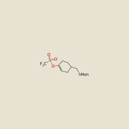 CCCCCCCCCCC1CC=C(OS(=O)(=O)C(F)(F)F)CC1